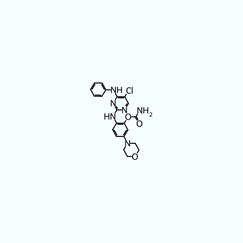 NC(=O)Oc1cc(N2CCOCC2)ccc1Nc1ncc(Cl)c(Nc2ccccc2)n1